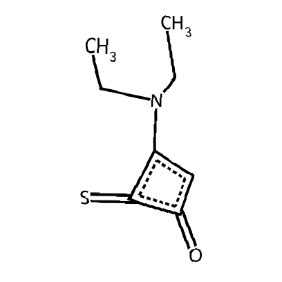 CCN(CC)c1cc(=O)c1=S